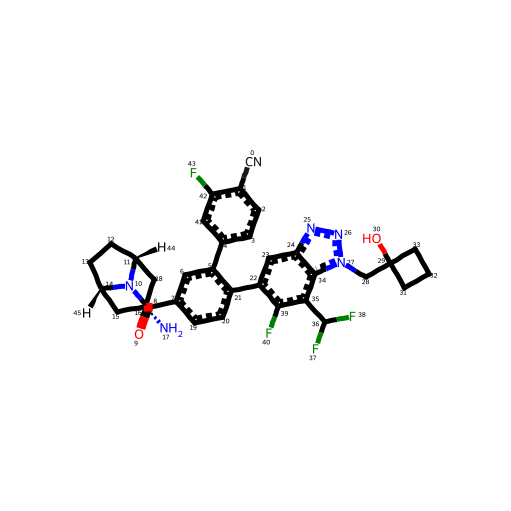 N#Cc1ccc(-c2cc(C(=O)N3[C@@H]4CC[C@H]3C[C@@H](N)C4)ccc2-c2cc3nnn(CC4(O)CCC4)c3c(C(F)F)c2F)cc1F